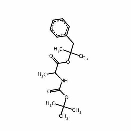 CC(NC(=O)OC(C)(C)C)C(=O)OC(C)(C)Cc1ccccc1